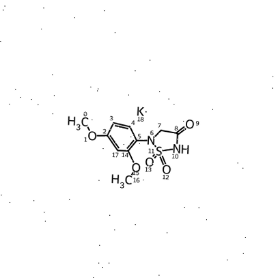 COc1ccc(N2CC(=O)NS2(=O)=O)c(OC)c1.[K]